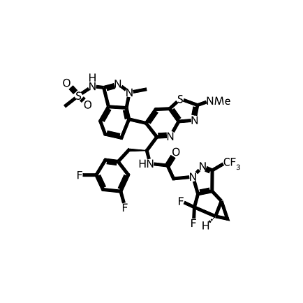 CNc1nc2nc([C@H](Cc3cc(F)cc(F)c3)NC(=O)Cn3nc(C(F)(F)F)c4c3C(F)(F)[C@@H]3CC43)c(-c3cccc4c(NS(C)(=O)=O)nn(C)c34)cc2s1